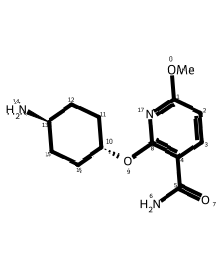 COc1ccc(C(N)=O)c(O[C@H]2CC[C@H](N)CC2)n1